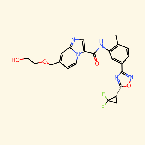 Cc1ccc(-c2noc([C@@H]3CC3(F)F)n2)cc1NC(=O)c1cnc2cc(COCCO)ccn12